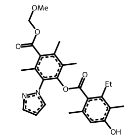 CCc1c(C)c(O)cc(C)c1C(=O)Oc1c(C)c(C)c(C(=O)OCOC)c(C)c1-n1cccn1